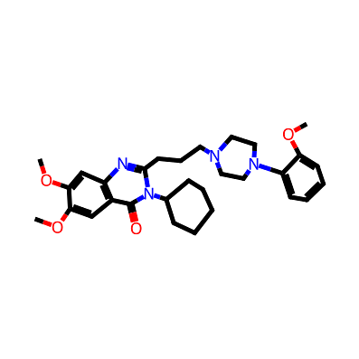 COc1cc2nc(CCCN3CCN(c4ccccc4OC)CC3)n(C3CCCCC3)c(=O)c2cc1OC